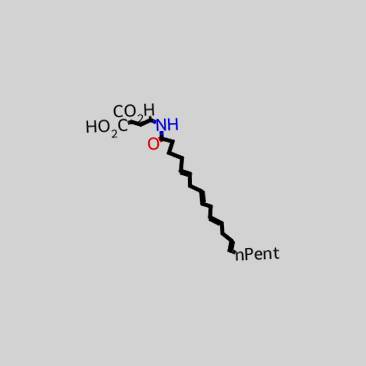 CCCCCC=CCC=CCC=CCC=CCCCC(=O)N[C@@H](CCC(=O)O)C(=O)O